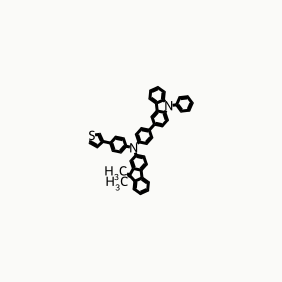 CC1(C)c2ccccc2-c2ccc(N(c3ccc(-c4ccsc4)cc3)c3ccc(-c4ccc5c(c4)c4ccccc4n5-c4ccccc4)cc3)cc21